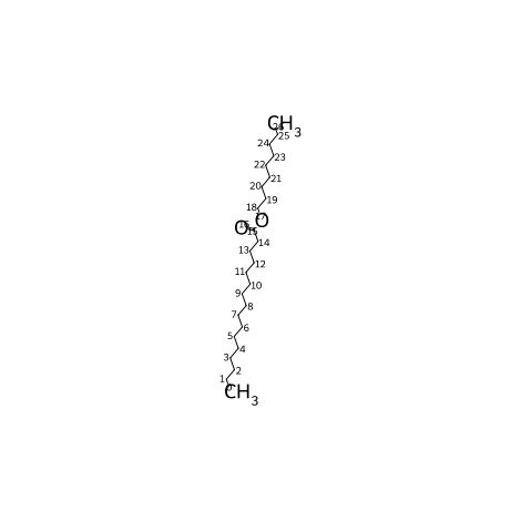 CCCCCCCCCCCCCCCC(=O)OCCCCCCCCC